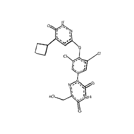 O=c1[nH]nc(Oc2c(Cl)cc(-n3nc(CO)c(=O)[nH]c3=O)cc2Cl)cc1C1CCC1